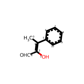 CC(=C(O)C=O)c1ccccc1